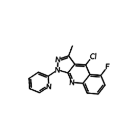 Cc1nn(-c2ccccn2)c2nc3cccc(F)c3c(Cl)c12